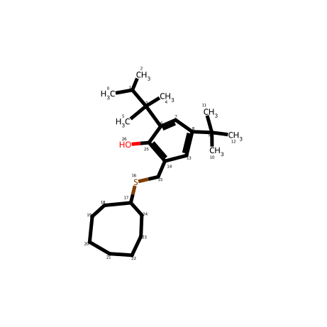 CC(C)C(C)(C)c1cc(C(C)(C)C)cc(CSC2CCCCCCC2)c1O